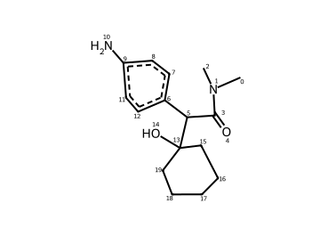 CN(C)C(=O)C(c1ccc(N)cc1)C1(O)CCCCC1